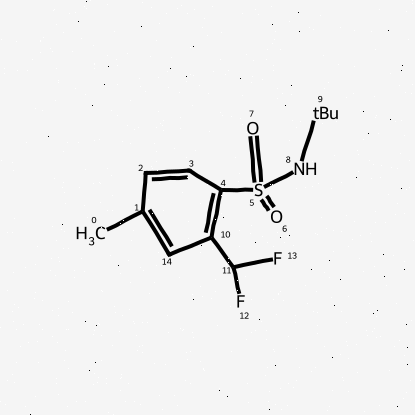 Cc1ccc(S(=O)(=O)NC(C)(C)C)c(C(F)F)c1